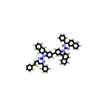 c1ccc(-c2cc3nc(-n4c5ccc(-c6ccc7c(c6)c6c8ccccc8ccc6n7-c6nc(-c7ccccc7)c7ccc8ccccc8c7n6)cc5c5cc6ccccc6cc54)nc(-c4ccccc4)c3s2)cc1